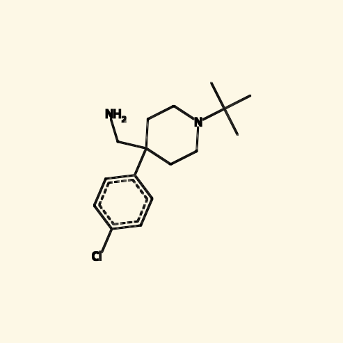 CC(C)(C)N1CCC(CN)(c2ccc(Cl)cc2)CC1